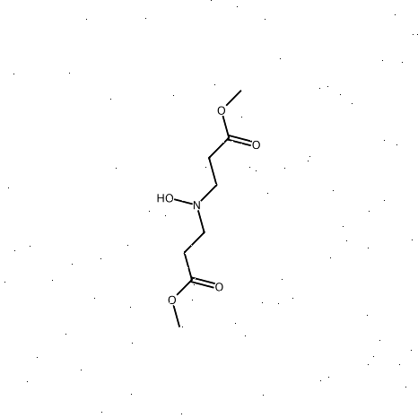 COC(=O)CCN(O)CCC(=O)OC